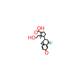 C[C@]1(CCO)C(C2C[C@H](F)C3=CC(=O)C=C[C@@]34CC24)CC[C@@H]1C(=O)O